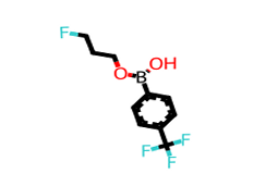 OB(OCCCF)c1ccc(C(F)(F)F)cc1